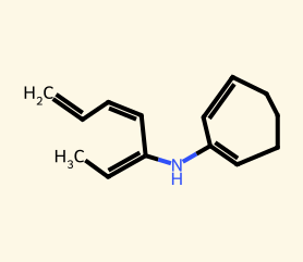 C=C/C=C\C(=C/C)NC1=CCCCC=C1